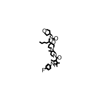 CCCCC1CN(CC2CCOCC2)C(=O)OC12CCN(C1(C)CCN(C(=O)c3c(C)nn(-c4ccc(F)cc4)c3C)CC1)CC2